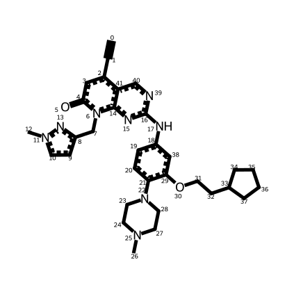 C#Cc1cc(=O)n(Cc2ccn(C)n2)c2nc(Nc3ccc(N4CCN(C)CC4)c(OCCC4CCCC4)c3)ncc12